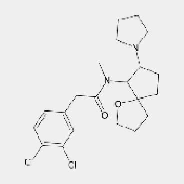 CN(C(=O)Cc1ccc(Cl)c(Cl)c1)C1C(N2CCCC2)CCC12CCCO2